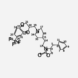 O=C1OCC(Cc2ccccc2)N1CCC1CCN(CC2COc3ccc(C(F)(F)F)cc3O2)CC1